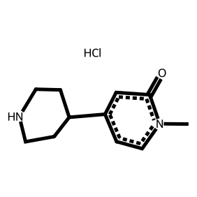 Cl.Cn1ccc(C2CCNCC2)cc1=O